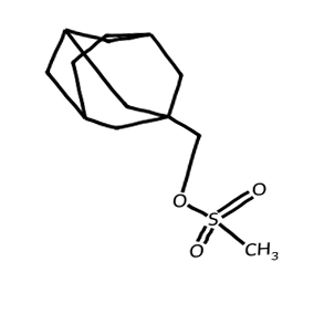 CS(=O)(=O)OCC12CC3CCC(CC(C3)C1)C2